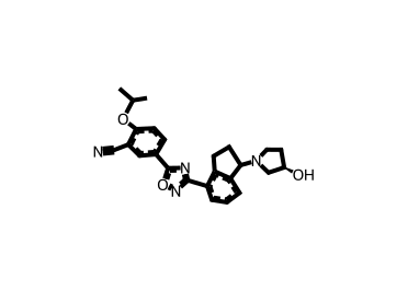 CC(C)Oc1ccc(-c2nc(-c3cccc4c3CCC4N3CC[C@@H](O)C3)no2)cc1C#N